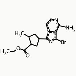 CCOC(=O)C1CC(c2nc(Br)c3c(N)nccn23)CC1C